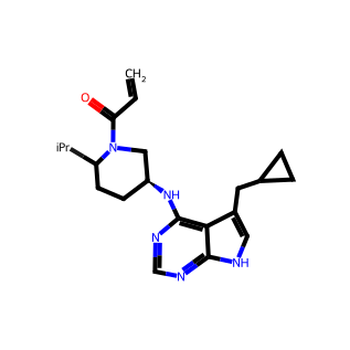 C=CC(=O)N1C[C@@H](Nc2ncnc3[nH]cc(CC4CC4)c23)CCC1C(C)C